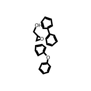 OCC1CO1.c1ccc(-c2ccccc2)cc1.c1ccc(Oc2ccccc2)cc1